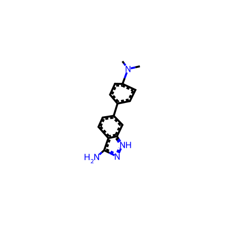 CN(C)c1ccc(-c2ccc3c(N)n[nH]c3c2)cc1